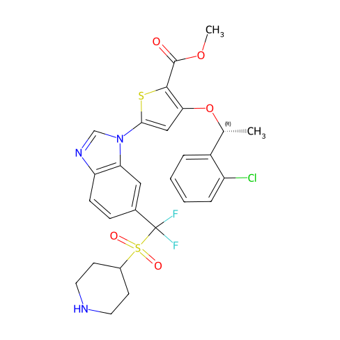 COC(=O)c1sc(-n2cnc3ccc(C(F)(F)S(=O)(=O)C4CCNCC4)cc32)cc1O[C@H](C)c1ccccc1Cl